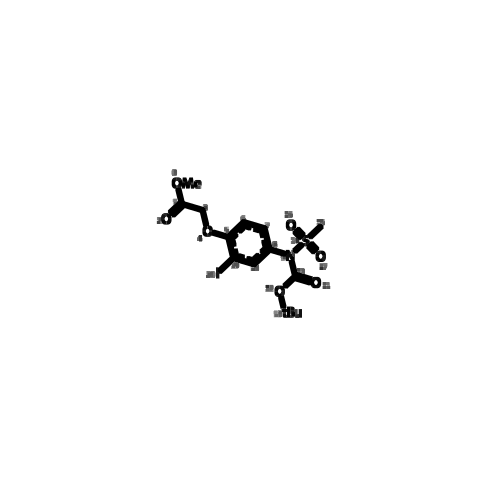 COC(=O)COc1ccc(N(C(=O)OC(C)(C)C)S(C)(=O)=O)cc1I